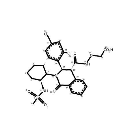 CS(=O)(=O)N[C@H]1CCCCC1N1C(=O)c2ccccc2[C@@H](C(=O)NOCC(=O)O)[C@@H]1c1ccc(Cl)cc1Cl